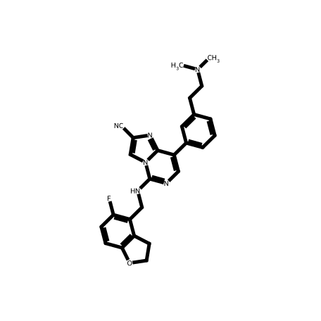 CN(C)CCc1cccc(-c2cnc(NCc3c(F)ccc4c3CCO4)n3cc(C#N)nc23)c1